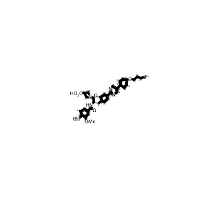 COc1cc(C(=O)N[C@@H](Cc2ccc(-c3ncc(-c4ccc(OCCCC(C)C)cc4)cn3)cc2)C(=O)N2CC(C(=O)O)C2)ccc1C(C)(C)C